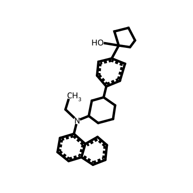 CCN(c1cccc2ccccc12)C1CCCC(c2ccc(C3(O)CCCC3)cc2)C1